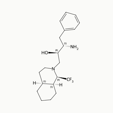 N[C@@H](Cc1ccccc1)[C@H](O)CN1CC[C@@H]2CCCC[C@@H]2[C@@H]1C(F)(F)F